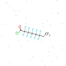 O=C(Cl)C(F)(F)C(F)(F)C(F)(F)C(F)(F)C(F)(F)CC(F)(F)F